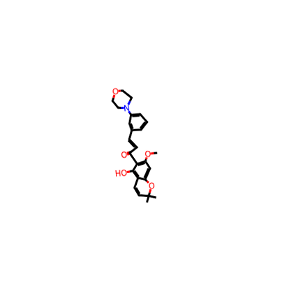 COc1cc2c(c(O)c1C(=O)/C=C/c1cccc(N3CCOCC3)c1)C=CC(C)(C)O2